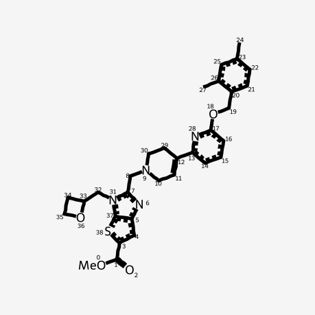 COC(=O)c1cc2nc(CN3CC=C(c4cccc(OCc5ccc(C)cc5C)n4)CC3)n(CC3CCO3)c2s1